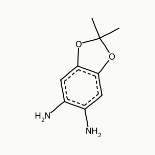 CC1(C)Oc2cc(N)c(N)cc2O1